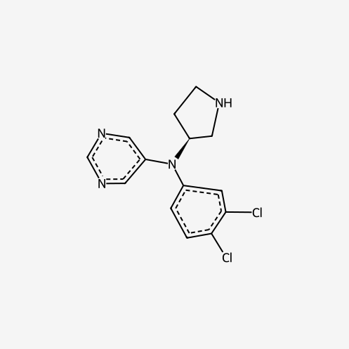 Clc1ccc(N(c2cncnc2)[C@H]2CCNC2)cc1Cl